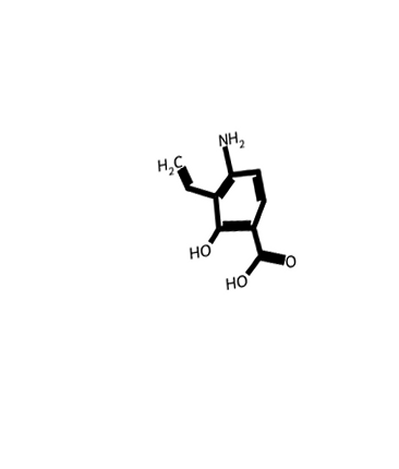 C=Cc1c(N)ccc(C(=O)O)c1O